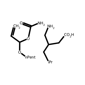 C=CC(OCCCCC)OC(N)=O.CC(C)CC(CN)CC(=O)O